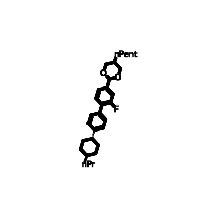 CCCCCC1COC(c2ccc(-c3ccc([C@H]4CC[C@H](CCC)CC4)cc3)c(F)c2)OC1